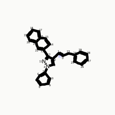 C(=C\c1cn(-c2ccccc2)nc1-c1ccc2ccccc2c1)/Cc1ccccc1